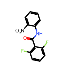 O=C(Nc1ccccc1[N+](=O)[O-])c1c(F)cccc1F